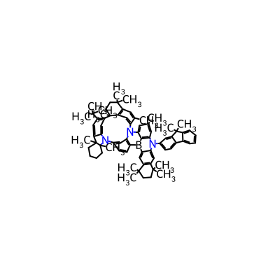 Cc1cc2c3c(c1)N1c4cc5c(cc4C)C(C)(C)CCC5(C)c4cc5c(cc4C(C)(C)C)C4(C)CCCCC4(C)N5c4ccc(c1c4)B3c1cc3c(cc1N2c1ccc2c(c1)C(C)(C)c1ccccc1-2)C(C)(C)CCC3(C)C